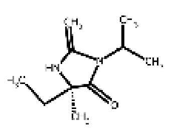 C=C1N[C@](C)(CC)C(=O)N1C(C)C